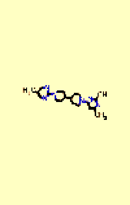 Cc1cnc(N2CCC(C3CCN(c4cc(C)nc(C#N)n4)CC3)CC2)nc1